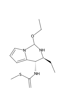 C=C(N[C@@H]1c2cccn2C(OCC)N[C@H]1CC)SC